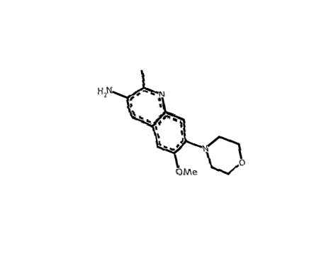 COc1cc2cc(N)c(C)nc2cc1N1CCOCC1